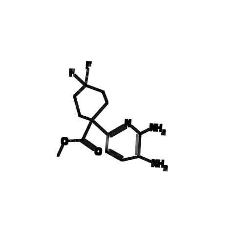 COC(=O)C1(c2ccc(N)c(N)n2)CCC(F)(F)CC1